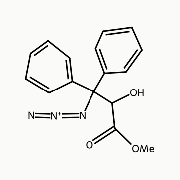 COC(=O)C(O)C(N=[N+]=[N-])(c1ccccc1)c1ccccc1